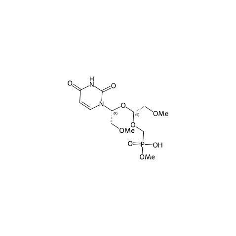 COC[C@H](OCP(=O)(O)OC)O[C@H](COC)n1ccc(=O)[nH]c1=O